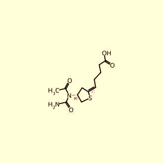 CC(=O)N(C(N)=O)[C@H]1CS/C(=C/CCCC(=O)O)C1